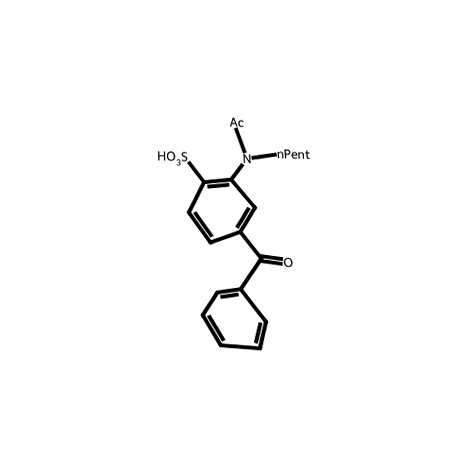 CCCCCN(C(C)=O)c1cc(C(=O)c2ccccc2)ccc1S(=O)(=O)O